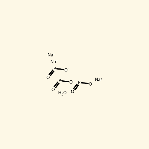 O.O=P[O-].O=P[O-].O=P[O-].[Na+].[Na+].[Na+]